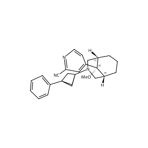 CO[C@@]1(c2ccnc(C#N)c2)[C@@H]2CCC[C@H]1CN(C13CC(c4ccccc4)(C1)C3)C2